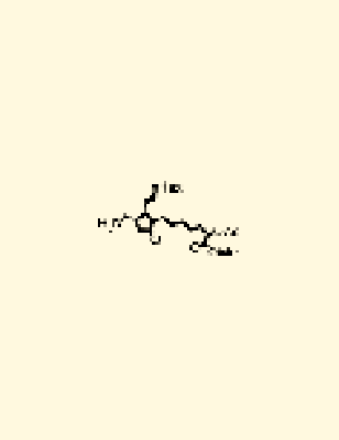 CCCCCCC=C[C@H]1[C@H](CN)CC(=O)[C@@H]1CCCCCC(OC(C)=O)C(=O)OC